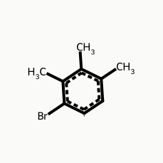 Cc1c[c]c(Br)c(C)c1C